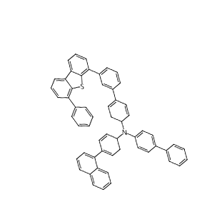 C1=CC(N(c2ccc(-c3ccccc3)cc2)C2C=CC(c3cccc4ccccc34)=CC2)CC=C1c1cccc(-c2cccc3c2sc2c(-c4ccccc4)cccc23)c1